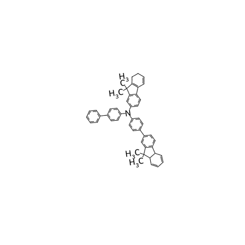 CC1(C)C2=C(C=CCC2)c2ccc(N(c3ccc(-c4ccccc4)cc3)c3ccc(-c4ccc5c(c4)C(C)(C)C4C=CC=CC54)cc3)cc21